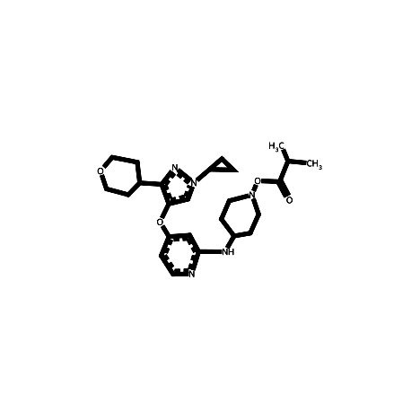 CC(C)C(=O)ON1CCC(Nc2cc(Oc3cn(C4CC4)nc3C3CCOCC3)ccn2)CC1